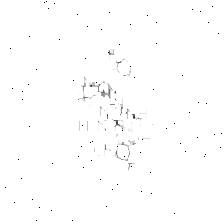 Nc1nc(-n2nc(Cc3ccccc3F)c3ncc(F)cc32)nc(N)c1N(Cc1ccc(Cl)cc1Cl)C(=O)O